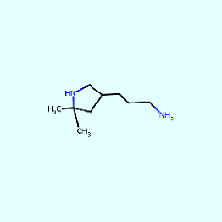 CC1(C)CC(CCCN)CN1